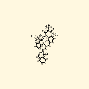 CCN1C(=O)C(C)(C)C(=O)N(C)c2cc(CN(CCn3ccc4ccccc4c3=O)Cc3ccccc3NS(C)(=O)=O)ccc21